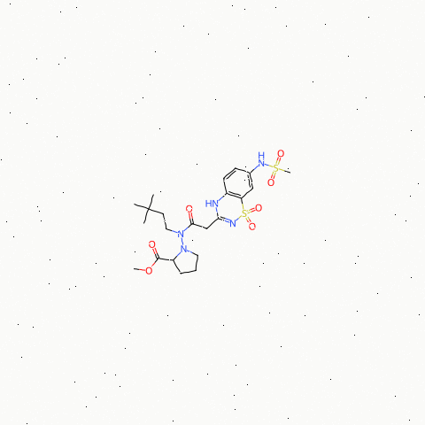 COC(=O)C1CCCN1N(CCC(C)(C)C)C(=O)CC1=NS(=O)(=O)c2cc(NS(C)(=O)=O)ccc2N1